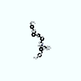 COc1ccc(COc2cccc(-n3ccc(-c4cc(C(=O)/N=c5\[nH]c6ccc(CN7CCN(C)CC7)cc6n5CC(C)(C)O)ccn4)n3)c2C=O)cc1